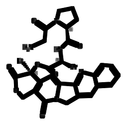 CC[C@@]1(OC(=O)[C@@H](NC(=O)[C@@H]2CCCN2C(=O)CN)C(C)C)C(=O)OCc2c1cc1n(c2=O)Cc2cc3ccccc3nc2-1